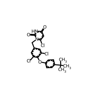 CC(C)(C)c1ccc(Oc2c(Cl)cc(Cn3c(Cl)cc(=O)[nH]c3=O)cc2Cl)cc1